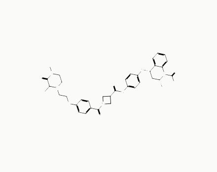 CCC(=O)N1c2ccccc2[C@H](Nc2ccc(NC(=O)C3CN(C(=O)c4ccc(OCCN5CCN(C)C(=O)C5C)cc4)C3)cc2)C[C@@H]1C